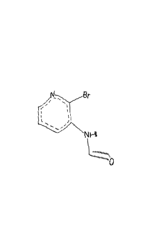 O=CNc1cccnc1Br